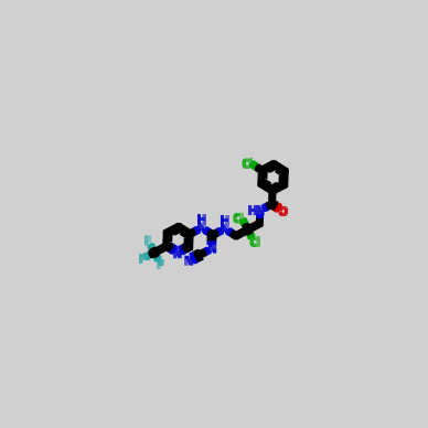 N#CN=C(NCC(Cl)(Cl)CNC(=O)c1cccc(Cl)c1)Nc1ccc(C(F)(F)F)nc1